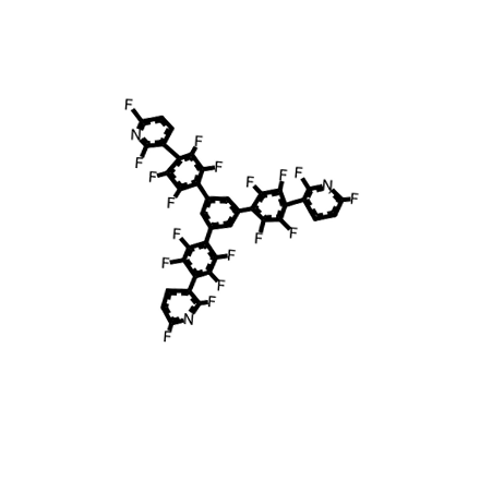 Fc1ccc(-c2c(F)c(F)c(-c3cc(-c4c(F)c(F)c(-c5ccc(F)nc5F)c(F)c4F)cc(-c4c(F)c(F)c(-c5ccc(F)nc5F)c(F)c4F)c3)c(F)c2F)c(F)n1